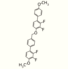 COc1ccc(-c2ccc(OCc3ccc(-c4ccc(OC)c(F)c4F)cc3)c(F)c2F)cc1